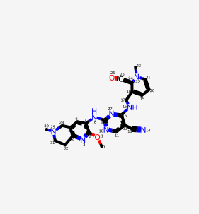 COc1nc2c(cc1Nc1ncc(C#N)c(NCC3=CC=CN(C)C3=C=O)n1)CN(C)CC2